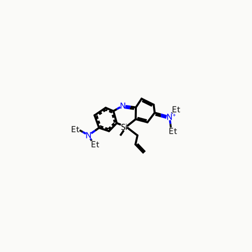 C=CC[Si]1(C)C2=CC(=[N+](CC)CC)C=CC2=Nc2ccc(N(CC)CC)cc21